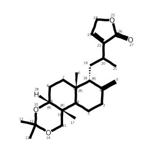 C=C1CCC2[C@](C)(CC[C@H]3OC(C)(C)OC[C@@]23C)[C@@H]1CC(C)C1=CCOC1=O